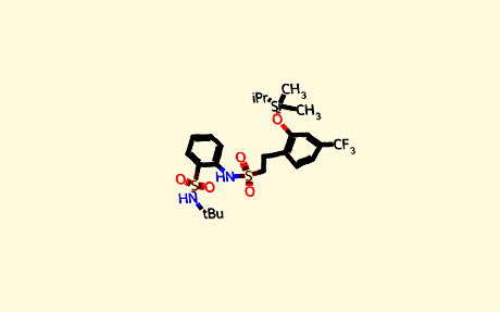 CC(C)[Si](C)(C)Oc1cc(C(F)(F)F)ccc1CCS(=O)(=O)Nc1ccccc1S(=O)(=O)NC(C)(C)C